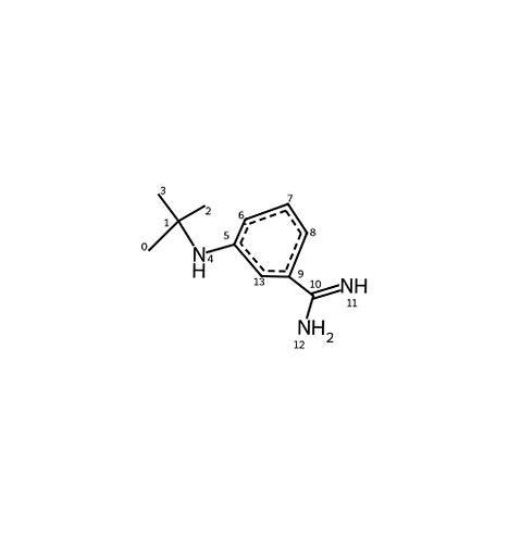 CC(C)(C)Nc1[c]ccc(C(=N)N)c1